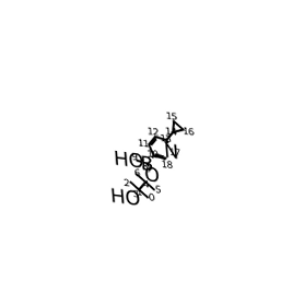 CC(C)(O)C(C)(C)OB(O)c1ccc(C2CC2)nc1